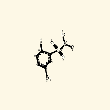 CCN(CC)S(=O)(=O)c1cc(C(F)(F)F)ccc1F